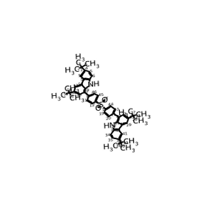 CC(C)(C)c1ccc2[nH]c3c(-c4ccc(S(=O)(=O)c5ccc(-c6cc(C(C)(C)C)cc7c6[nH]c6ccc(C(C)(C)C)cc67)cc5)cc4)cc(C(C)(C)C)cc3c2c1